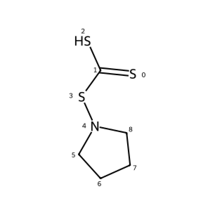 S=C(S)SN1CCCC1